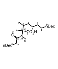 CCCCCCCCCCCCCCC(C)[C@](C)(C(=O)O)N(C)C(=O)CCCCCCCCCCC